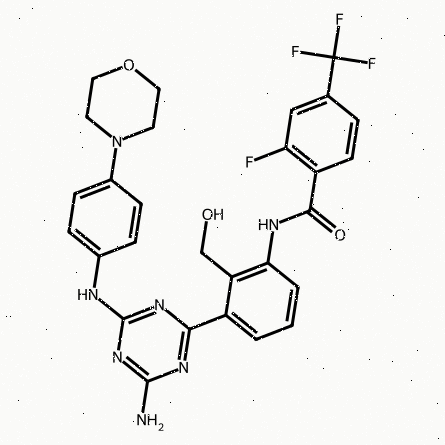 Nc1nc(Nc2ccc(N3CCOCC3)cc2)nc(-c2cccc(NC(=O)c3ccc(C(F)(F)F)cc3F)c2CO)n1